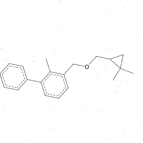 Cc1c(COCC2CC2(C)C)cccc1-c1ccccc1